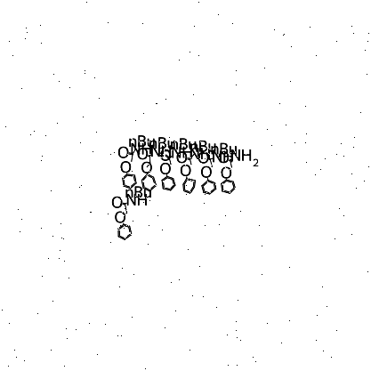 CCCCNC(=O)COc1ccccc1.CCCCNC(=O)COc1ccccc1.CCCCNC(=O)COc1ccccc1.CCCCNC(=O)COc1ccccc1.CCCCNC(=O)COc1ccccc1.CCCCNC(=O)COc1ccccc1.NC(=O)COc1ccccc1